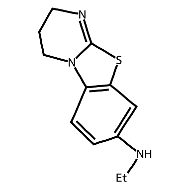 CCNc1ccc2c(c1)SC1=NCCCN12